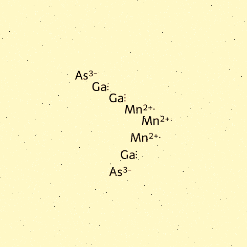 [As-3].[As-3].[Ga].[Ga].[Ga].[Mn+2].[Mn+2].[Mn+2]